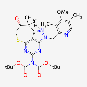 COc1c(C)cnc(Cn2nc3c4c(nc(N(C(=O)OC(C)(C)C)C(=O)OC(C)(C)C)nc42)SCC(=O)C3(C)C)c1C